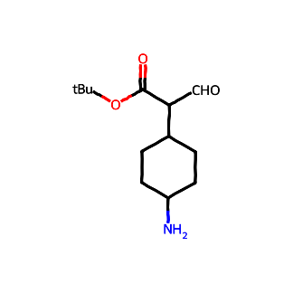 CC(C)(C)OC(=O)C(C=O)C1CCC(N)CC1